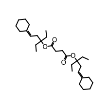 CCC(CC)(CC=C1CCCCC1)OC(=O)CCC(=O)OC(CC)(CC)CC=C1CCCCC1